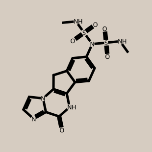 CNS(=O)(=O)N(c1ccc2c(c1)Cc1c-2[nH]c(=O)c2nccn12)S(=O)(=O)NC